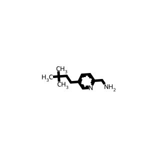 CC(C)(C)CCc1ccc(CN)nc1